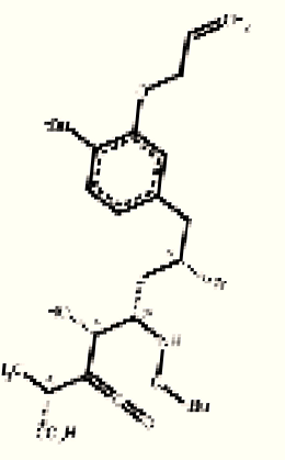 C=CCOc1cc(C[C@@H](C[C@H](NOC(C)(C)C)[C@@H](O)C(=C=O)[C@@H](C)C(=O)O)C(C)C)ccc1C(C)(C)C